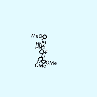 COc1ccccc1CC(=O)NC(=S)Nc1ccc(Oc2ccnc3cc(OC)c(OC)cc23)c(F)c1